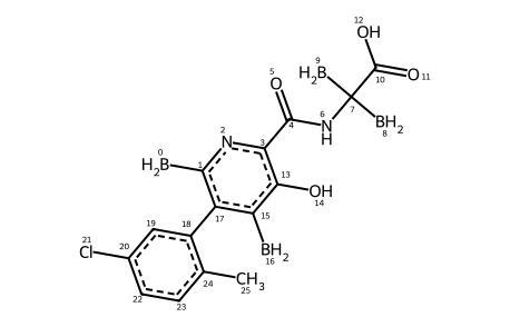 Bc1nc(C(=O)NC(B)(B)C(=O)O)c(O)c(B)c1-c1cc(Cl)ccc1C